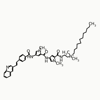 CCCCCCCCCCCC[N+](C)(C)CCNC(=O)c1cc(NC(=O)c2cc(NC(=O)c3ccc(/C=C/c4cnc5ccccc5c4)cc3)cn2C)cn1C